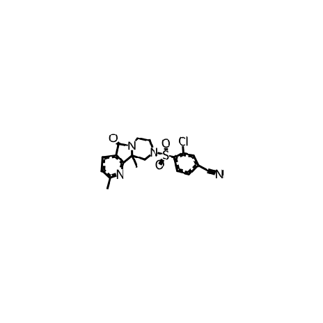 Cc1ccc2c(n1)C1(C)CN(S(=O)(=O)c3ccc(C#N)cc3Cl)CCN1C2=O